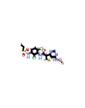 CCCS(=O)(=O)Nc1ccc(Cl)c(NC(=O)C2CSc3c(NOC)ncnc32)c1Cl